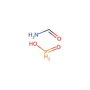 NC=O.O=[PH2]O